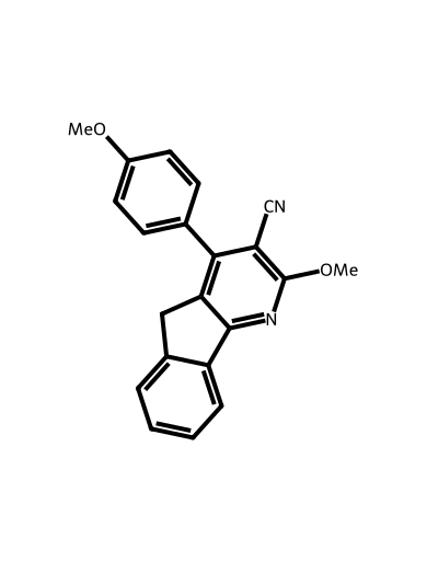 COc1ccc(-c2c(C#N)c(OC)nc3c2Cc2ccccc2-3)cc1